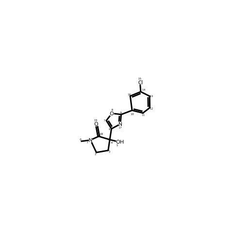 CN1CCC(O)(c2coc(-c3cccc(Cl)c3)n2)C1=O